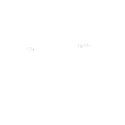 CC(=O)Nc1cccc(CC#N)c1